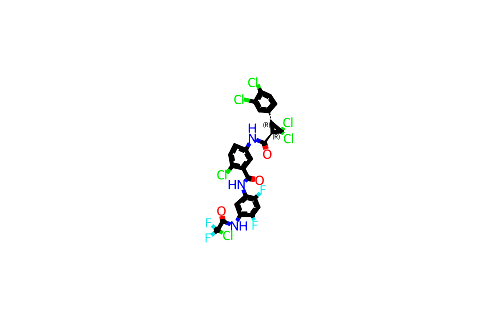 O=C(Nc1cc(NC(=O)C(F)(F)Cl)c(F)cc1F)c1cc(NC(=O)[C@H]2[C@H](c3ccc(Cl)c(Cl)c3)C2(Cl)Cl)ccc1Cl